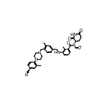 Cc1cc(CNc2cccc(C(=O)N(C=O)C3CCC(=O)NC3=O)c2C)ccc1CN1CCN(c2ccc(C#N)cc2C)CC1